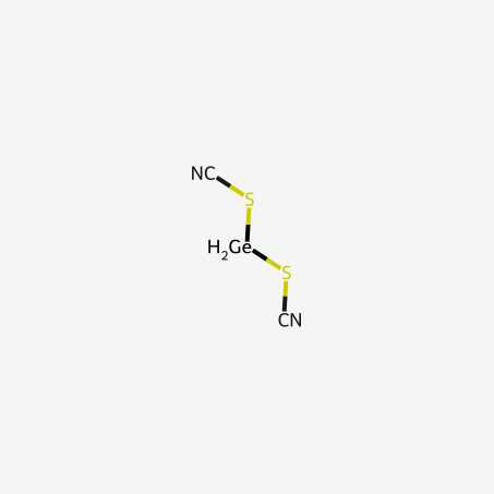 N#C[S][GeH2][S]C#N